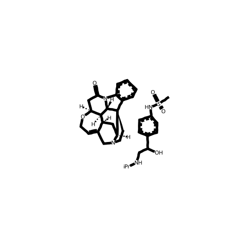 CC(C)NCC(O)c1ccc(NS(C)(=O)=O)cc1.O=C1C[C@@H]2OCC=C3CN4CC[C@]56c7ccccc7N1[C@H]5[C@H]2[C@H]3C[C@H]46